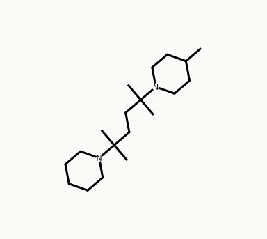 CC1CCN(C(C)(C)CCC(C)(C)N2CCCCC2)CC1